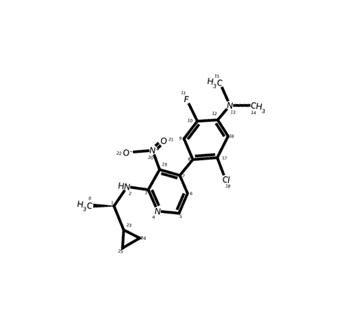 C[C@@H](Nc1nccc(-c2cc(F)c(N(C)C)cc2Cl)c1[N+](=O)[O-])C1CC1